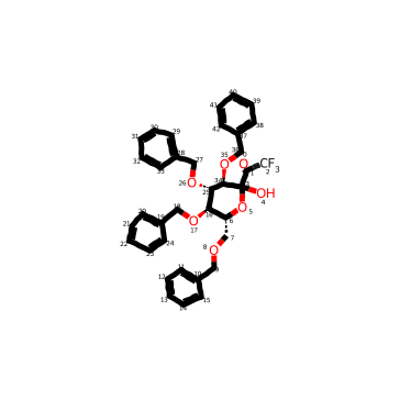 O=C(C(F)(F)F)C1(O)O[C@H](COCc2ccccc2)[C@@H](OCc2ccccc2)[C@H](OCc2ccccc2)[C@H]1OCc1ccccc1